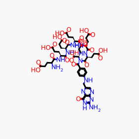 Nc1nc2ncc(CNc3ccc(C(=O)N(C(=O)[C@H](CCC(=O)O)NC(=O)[C@H](CCC(=O)O)NC(=O)[C@H](CCC(=O)O)NC(=O)[C@H](CCC(=O)O)NC(=O)[C@H](CCC(=O)O)NC(=O)[C@@H](N)CCC(=O)O)[C@@H](CCC(=O)O)C(=O)O)cc3)nc2c(=O)[nH]1